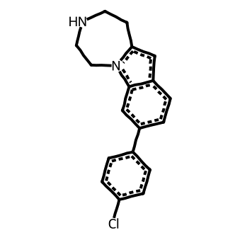 Clc1ccc(-c2ccc3cc4n(c3c2)CCNCC4)cc1